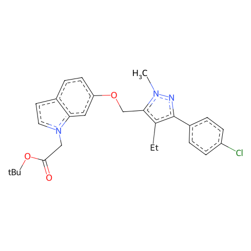 CCc1c(-c2ccc(Cl)cc2)nn(C)c1COc1ccc2ccn(CC(=O)OC(C)(C)C)c2c1